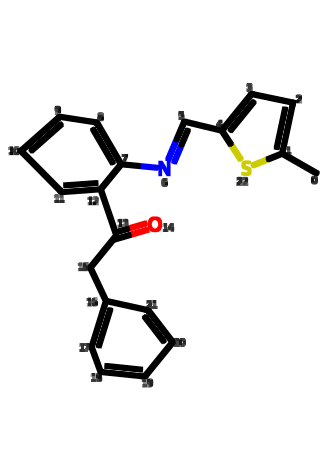 Cc1ccc(/C=N/c2ccccc2C(=O)Cc2ccccc2)s1